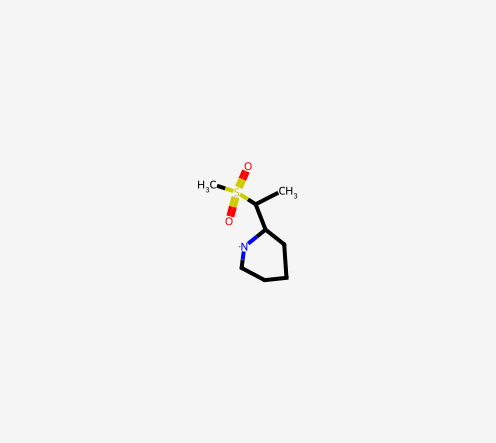 CC(C1CCCC[N]1)S(C)(=O)=O